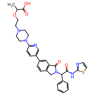 CC(OCCN1CCN(c2ccc(-c3ccc4c(c3)C(=O)N(C(C(=O)Nc3nccs3)c3ccccc3)C4)cn2)CC1)C(=O)O